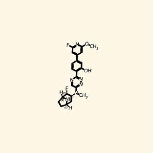 COc1cc(-c2ccc(-c3ncc(N(C)[C@H]4C[C@@H]5CC[C@@H](N5)[C@H]4F)nn3)c(O)c2)cc(F)n1